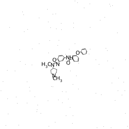 CN1CCC(N(C)c2nc3cc(NC(=O)c4cccc(Oc5ccccc5)c4)ccc3o2)CC1